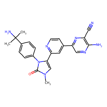 Cn1cc(-c2cc(-c3cnc(N)c(C#N)n3)ccn2)n(-c2ccc(C(C)(C)N)cc2)c1=O